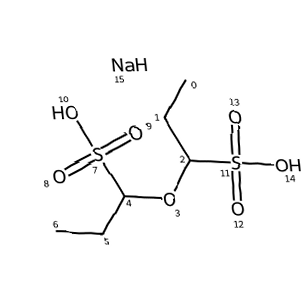 CCC(OC(CC)S(=O)(=O)O)S(=O)(=O)O.[NaH]